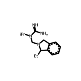 CCC1c2ccccc2CN1CN(C(=N)N)C(C)C